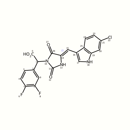 O=C(O)C(c1ccc(F)c(F)c1)N1C(=O)N/C(=C\c2c[nH]c3cc(Cl)ccc23)C1=O